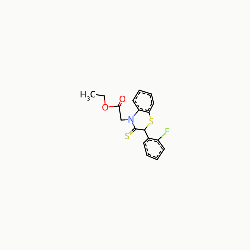 CCOC(=O)CN1C(=S)C(c2ccccc2F)Sc2ccccc21